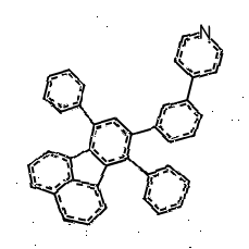 c1ccc(-c2cc(-c3cccc(-c4ccncc4)c3)c(-c3ccccc3)c3c2-c2cccc4cccc-3c24)cc1